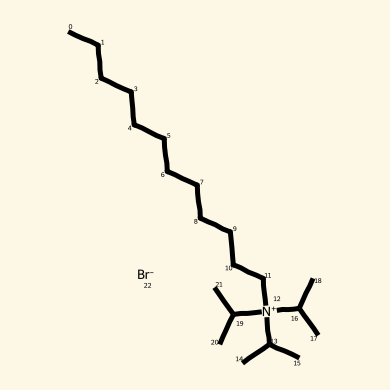 CCCCCCCCCCCC[N+](C(C)C)(C(C)C)C(C)C.[Br-]